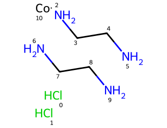 Cl.Cl.NCCN.NCCN.[Co]